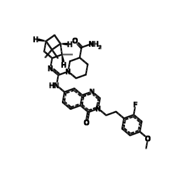 COc1ccc(CCn2cnc3cc(N/C(=N/C4C[C@@H]5C[C@H]([C@@H]4C)C5(C)C)N4CCCC(C(N)=O)C4)ccc3c2=O)c(F)c1